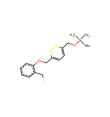 CC(C)(C)[Si](C)(C)OCC1=CC=C(COc2ccccc2CF)SS1